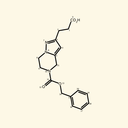 O=C(O)CCc1cc2n(n1)CCN(C(=O)OCc1ccccc1)C2